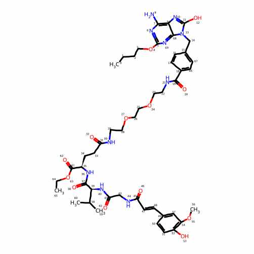 CCCCOc1nc(N)c2nc(O)n(Cc3ccc(C(=O)NCCOCCOCCNC(=O)CC[C@@H](NC(=O)[C@@H](NC(=O)CNC(=O)/C=C/c4ccc(O)c(OC)c4)C(C)C)C(=O)OCC)cc3)c2n1